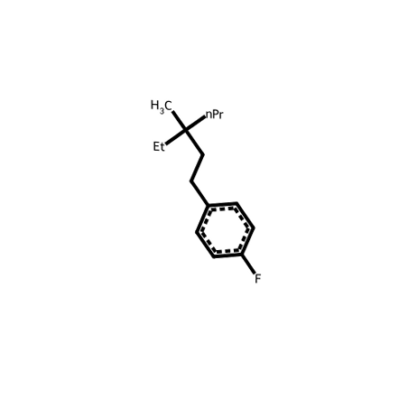 CCCC(C)(CC)CCc1ccc(F)cc1